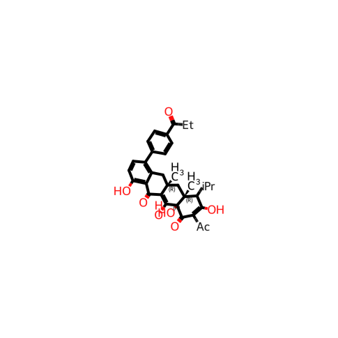 CCC(=O)c1ccc(-c2ccc(O)c3c2C[C@]2(C)C[C@]4(C)C(C(C)C)C(O)=C(C(C)=O)C(=O)[C@]4(O)C(O)=C2C3=O)cc1